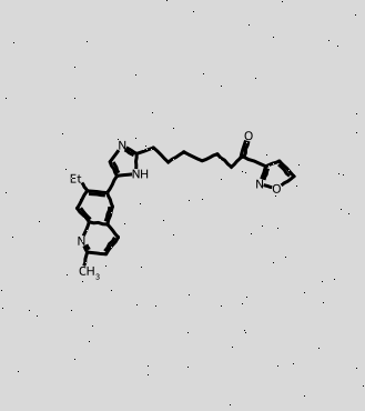 CCc1cc2nc(C)ccc2cc1-c1cnc(CCCCCCC(=O)c2ccon2)[nH]1